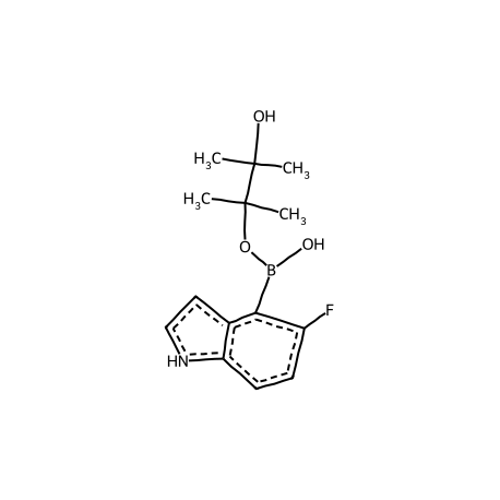 CC(C)(O)C(C)(C)OB(O)c1c(F)ccc2[nH]ccc12